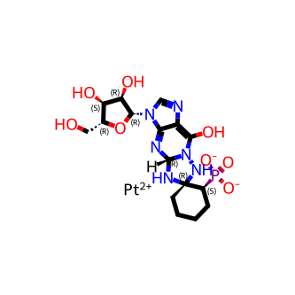 O=P([O-])([O-])[C@H]1CCCC[C@]12N[C@@H]1N=c3c(ncn3[C@@H]3O[C@H](CO)[C@@H](O)[C@H]3O)=C(O)N1N2.[Pt+2]